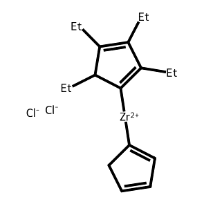 CCC1=C(CC)C(CC)[C]([Zr+2][C]2=CC=CC2)=C1CC.[Cl-].[Cl-]